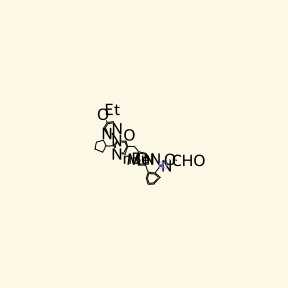 CCCCc1nc(C2CCCC2)n(-c2ncc(OCC)cn2)c(=O)c1Cc1ccc(-c2ccccc2/C(=N/OC=O)NC)nc1